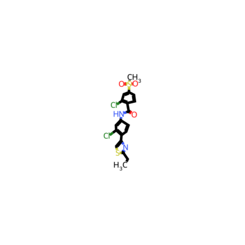 CCc1nc(-c2ccc(NC(=O)c3ccc(S(C)(=O)=O)cc3Cl)cc2Cl)cs1